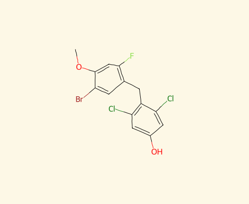 COc1cc(F)c(Cc2c(Cl)cc(O)cc2Cl)cc1Br